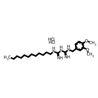 CCCCCCCCCCCCNC(=N)NC(=N)NCc1ccc(OC)c(OC)c1.Cl.Cl